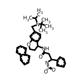 CC(C)N(Cc1ccc2c(c1)OCCC2NC(=O)CC(N=S(=O)=O)c1ccccc1)C(C)(C)C.c1ccc2ccccc2c1